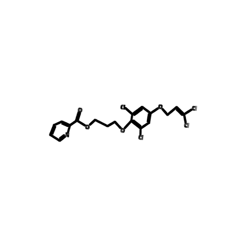 O=C(OCCCOc1c(Cl)cc(OCC=C(Cl)Cl)cc1Cl)c1ccccn1